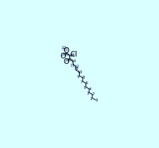 CCCCCCCCCCCCCCCC(=O)C(Cl)C(=O)OC